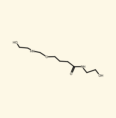 O=C(CCCOCNCCO)NCCO